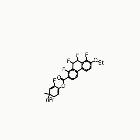 CCCC1(C)C=C(F)C(OC(=O)c2ccc3c(c2F)C(F)C(F)c2c-3ccc(OCC)c2F)=CC1